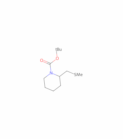 CSCC1CCCCN1C(=O)OC(C)(C)C